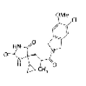 COc1cc2c(cc1Cl)CN(C(=O)C(C)C[C@@]1(C3CC3)NC(=O)NC1=O)C2